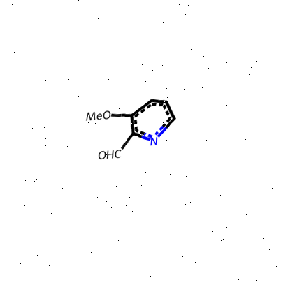 COc1cccnc1C=O